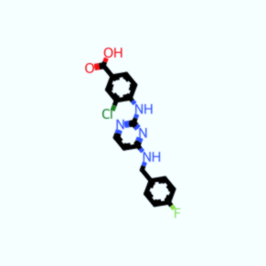 O=C(O)c1ccc(Nc2nccc(NCc3ccc(F)cc3)n2)c(Cl)c1